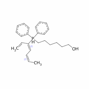 C=C/C(=C\C=C/C)[PH](CCCCCCO)(c1ccccc1)c1ccccc1